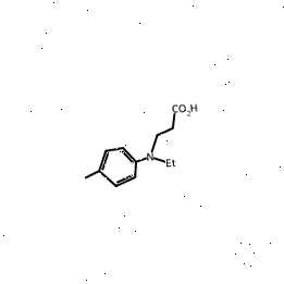 CCN(CCC(=O)O)c1ccc(C)cc1